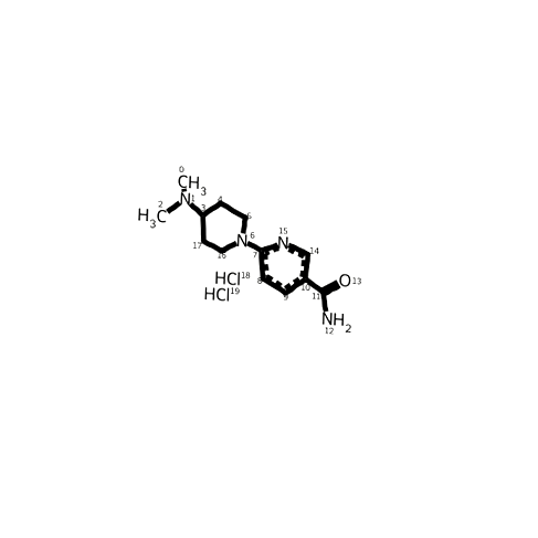 CN(C)C1CCN(c2ccc(C(N)=O)cn2)CC1.Cl.Cl